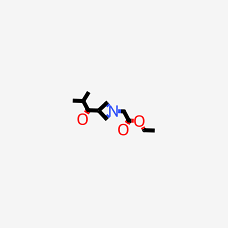 CCOC(=O)CN1CC(C(=O)C(C)C)C1